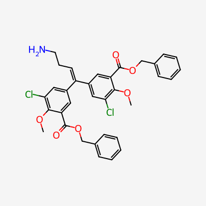 COc1c(Cl)cc(C(=CCCN)c2cc(Cl)c(OC)c(C(=O)OCc3ccccc3)c2)cc1C(=O)OCc1ccccc1